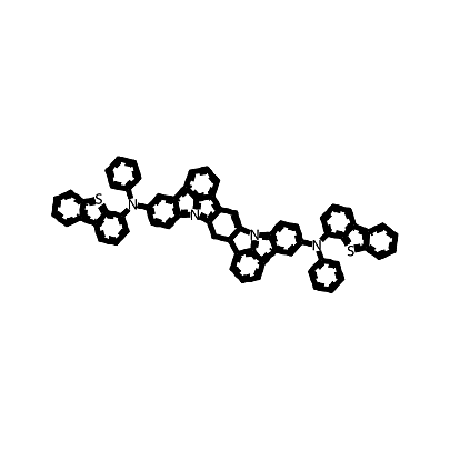 C1=C2C(Cc3c1c1cccc4c5cc(N(c6ccccc6)c6cccc7c6sc6ccccc67)ccc5n3c14)c1cccc3c4cc(N(c5ccccc5)c5cccc6c5sc5ccccc56)ccc4n2c13